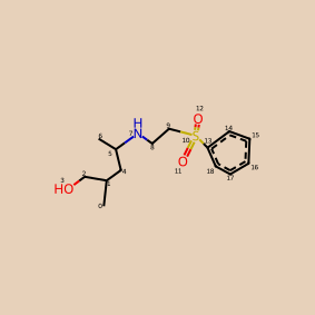 CC(CO)CC(C)NCCS(=O)(=O)c1ccccc1